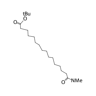 CNC(=O)CCCCCCCCCCCCCCC(=O)OC(C)(C)C